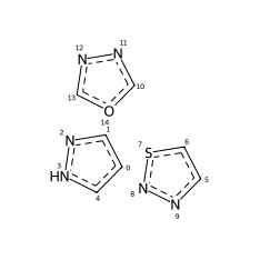 c1cn[nH]c1.c1csnn1.c1nnco1